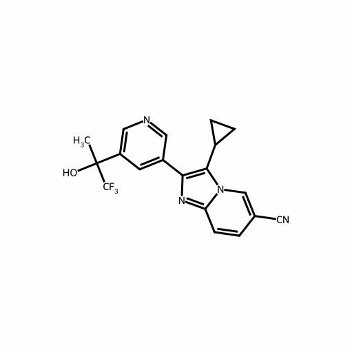 CC(O)(c1cncc(-c2nc3ccc(C#N)cn3c2C2CC2)c1)C(F)(F)F